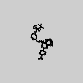 CN(C)c1ccc(-c2cc3nccnc3c(NCC3CN(C(=O)OC(C)(C)C)CCO3)n2)cn1